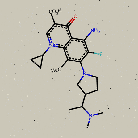 COc1c(N2CCC(C(C)N(C)C)C2)c(F)c(N)c2c(=O)c(C(=O)O)cn(C3CC3)c12